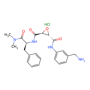 CN(C)C(=O)[C@H](Cc1ccccc1)NC(=O)[C@H]1O[C@@H]1C(=O)Nc1cccc(CN)c1.Cl